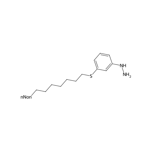 CCCCCCCCCCCCCCCCSc1cccc(NN)c1